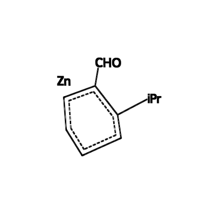 CC(C)c1ccccc1C=O.[Zn]